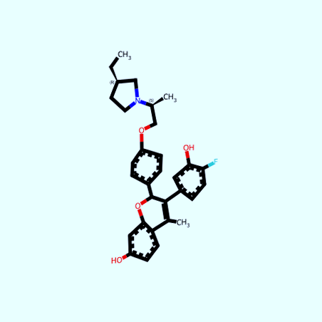 CC[C@@H]1CCN([C@@H](C)COc2ccc(C3Oc4cc(O)ccc4C(C)=C3c3ccc(F)c(O)c3)cc2)C1